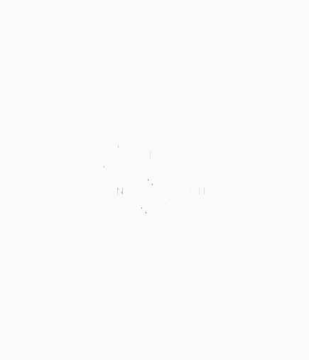 C=C(C(=O)O)c1nc(C)nc(C(Cl)(Cl)Cl)n1